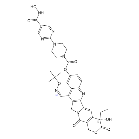 CC[C@@]1(O)C(=O)OCc2c1cc1n(c2=O)Cc2c-1nc1ccc(OC(=O)N3CCN(c4ncc(C(=O)NO)cn4)CC3)cc1c2/C=N\OC(C)(C)C